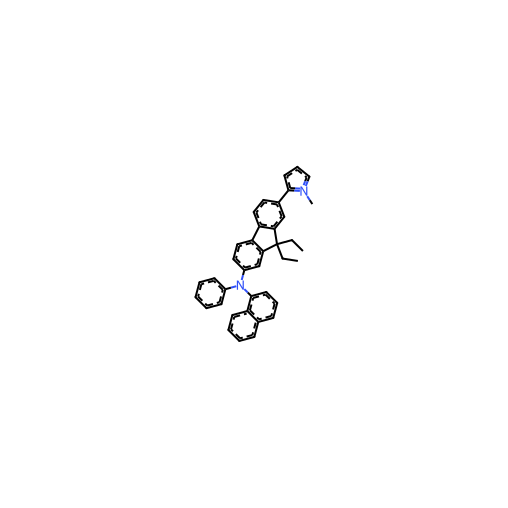 CCC1(CC)c2cc(-c3cccn3C)ccc2-c2ccc(N(c3ccccc3)c3cccc4ccccc34)cc21